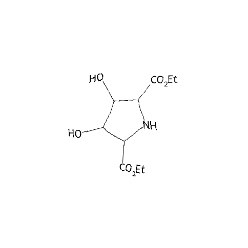 CCOC(=O)C1NC(C(=O)OCC)C(O)C1O